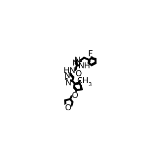 Cc1ccc(OCC2CCOCC2)cc1-c1cc(NC(=O)c2nnc(Cc3ccccc3F)[nH]2)ncn1